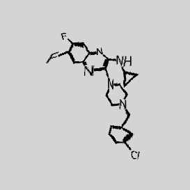 Fc1cc2nc(NC3CC3)c(N3CCN(Cc4cccc(Cl)c4)CC3)nc2cc1F